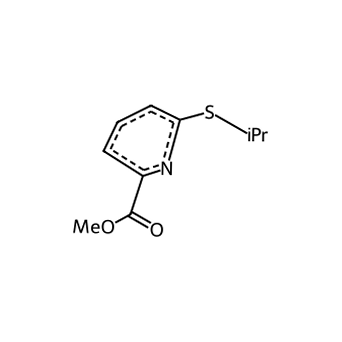 COC(=O)c1cccc(SC(C)C)n1